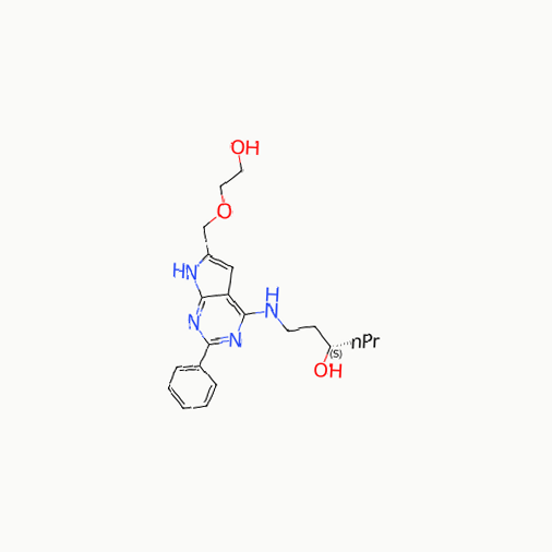 CCC[C@H](O)CCNc1nc(-c2ccccc2)nc2[nH]c(COCCO)cc12